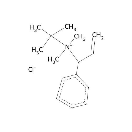 C=CC(c1ccccc1)[N+](C)(C)C(C)(C)C.[Cl-]